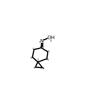 ON=C1CCC2(CC1)CC2